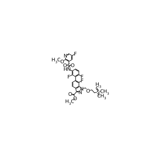 COC(=O)c1nn(COCCS(C)(C)C)c2c(F)c(-c3c(F)ccc(NS(=O)(=O)c4cc(F)cnc4OC)c3F)ccc12